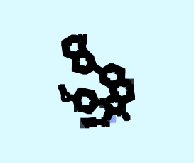 COc1ccc(-n2/c(=N\C#N)n(C)c3cnc4ccc(-c5ccc6cccnc6c5)cc4c32)cn1